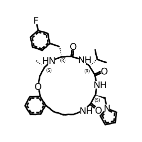 CC(C)[C@H]1NC(=O)[C@@H](Cc2cccc(F)c2)N[C@@H](C)COc2ccccc2CCCNC(=O)[C@H](Cn2cccc2)NC1=O